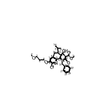 COCCCOc1cc2c(nc1Cl)-c1c(c(O)c(C(=O)OC)c(=O)n1Cc1ccccc1)C(C(C)C)C2